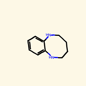 c1ccc2c(c1)NCCCCN2